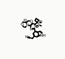 CS(=O)(=O)C1(c2nc(-c3cc(CC#N)cc4[nH]ccc34)nc3c2OC[C@@H]2COCCN32)CCC1